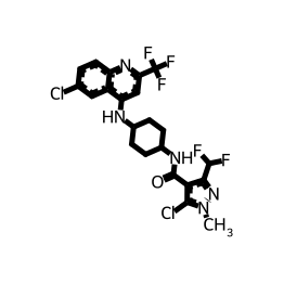 Cn1nc(C(F)F)c(C(=O)NC2CCC(Nc3cc(C(F)(F)F)nc4ccc(Cl)cc34)CC2)c1Cl